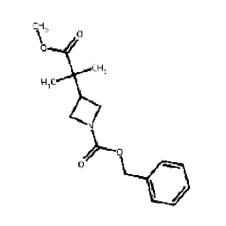 COC(=O)C(C)(C)C1CN(C(=O)OCc2ccccc2)C1